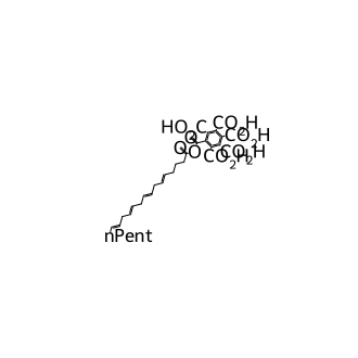 CCCCCC=CCC=CCC=CCC=CCCCC(=O)OC(=O)c1c(C(=O)O)c(C(=O)O)c(C(=O)O)c(C(=O)O)c1C(=O)O